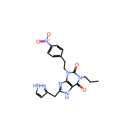 CCCn1c(=O)c2[nH]c(Cc3cc[nH]n3)nc2n(CCc2ccc([N+](=O)[O-])cc2)c1=O